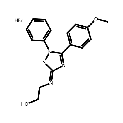 Br.COc1ccc(-c2nc(=NCCO)sn2-c2ccccc2)cc1